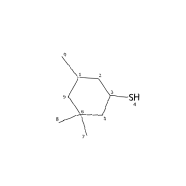 CC1CC(S)CC(C)(C)C1